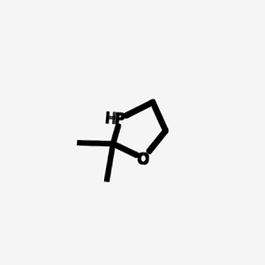 CC1(C)OCCP1